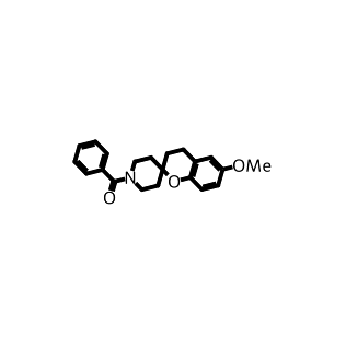 COc1ccc2c(c1)CCC1(CCN(C(=O)c3ccccc3)CC1)O2